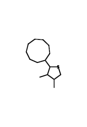 CC1CSC(C2CCCCCCCC2)C1C